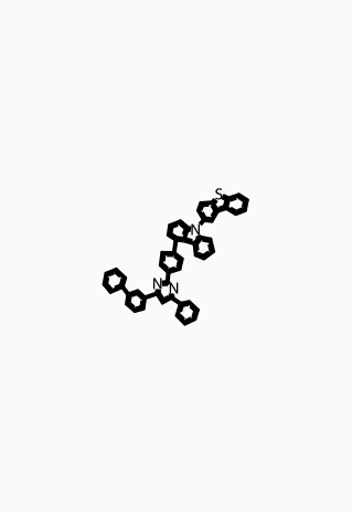 c1ccc(-c2cccc(-c3cc(-c4ccccc4)nc(-c4ccc(-c5cccc6c5c5ccccc5n6-c5ccc6sc7ccccc7c6c5)cc4)n3)c2)cc1